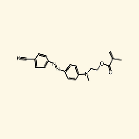 C=C(C)C(=O)OCCN(C)c1ccc(N=Nc2ccc(C#N)cc2)cc1